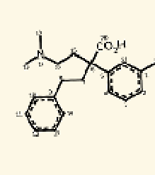 Cc1cccc(C(CCc2ccccc2)(CCN(C)C)C(=O)O)c1